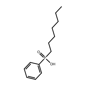 CCCCCCCP(=O)(O)c1ccccc1